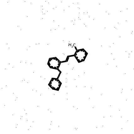 Cc1ccccc1C=Cc1ccccc1Cc1ccccc1